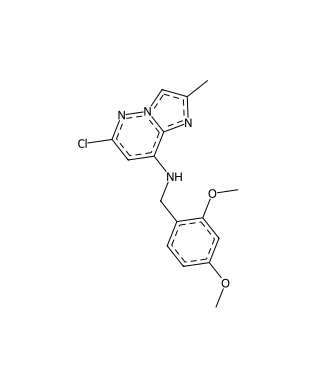 COc1ccc(CNc2cc(Cl)nn3cc(C)nc23)c(OC)c1